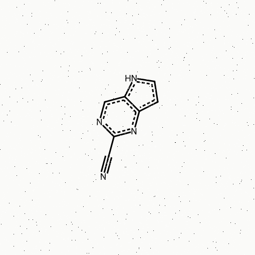 N#Cc1ncc2[nH]ccc2n1